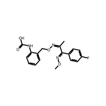 CO/N=C(/C(C)=N\OCc1ccccc1NC(=O)O)c1ccc(F)cc1